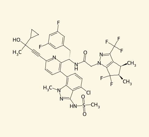 C[C@@H]1c2c(C(F)(F)F)nn(CC(=O)N[C@@H](Cc3cc(F)cc(F)c3)c3nc(C#CC(C)(O)C4CC4)ccc3-c3ccc(Cl)c4c(NS(C)(=O)=O)nn(C)c34)c2C(F)(F)[C@@H]1C